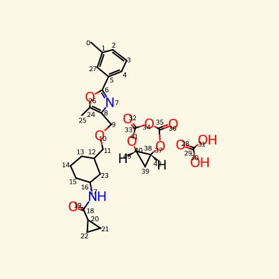 Cc1cccc(-c2nc(COCC3CCCC(NC(=O)C4CC4)C3)c(C)o2)c1.O=C(O)O.O=C1OC(=O)O[C@@H]2C[C@@H]2O1